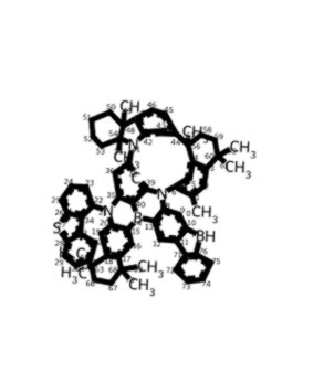 Cc1cc2c3cc1N1c4cc5c(cc4B4c6cc7c(cc6N(c6cccc8sc9ccccc9c68)c6cc(cc1c64)N1c4cc(ccc4C4(C)CCCCC14C)C3(C)CCC2(C)C)C(C)(C)CCC7(C)C)-c1ccccc1B5